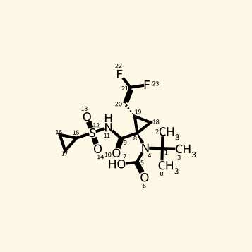 CC(C)(C)N(C(=O)O)[C@]1(C(=O)NS(=O)(=O)C2CC2)C[C@H]1C=C(F)F